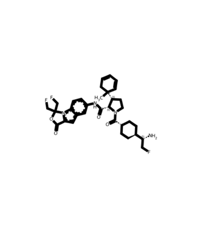 CC1([C@@H]2CCN(C(=O)[C@H]3CC[C@H]([C@H](N)CF)CC3)[C@@H]2C(=O)Nc2ccc3c(c2)cc2n3C(CF)(CF)OC2=O)C=CC=CC1